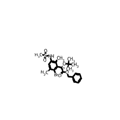 Cc1cc(NS(C)(=O)=O)c(C)c([C@H](OC(C)(C)C)C(=O)OCc2ccccc2)c1Br